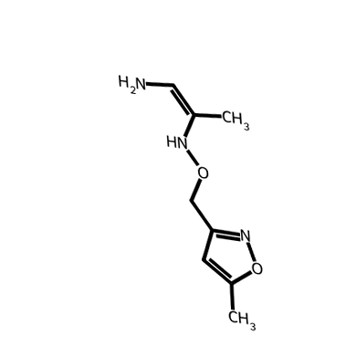 C/C(=C/N)NOCc1cc(C)on1